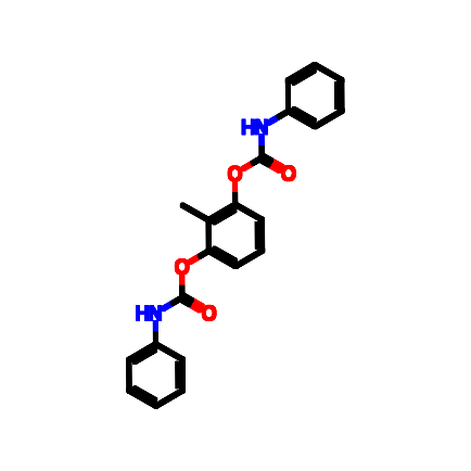 Cc1c(OC(=O)Nc2ccccc2)cccc1OC(=O)Nc1ccccc1